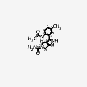 CC(=O)Nc1ccc(C)cc1-c1[nH]nc2c1CN(C(N)=O)C2